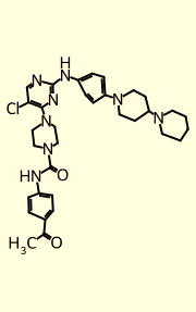 CC(=O)c1ccc(NC(=O)N2CCN(c3nc(Nc4ccc(N5CCC(N6CCCCC6)CC5)cc4)ncc3Cl)CC2)cc1